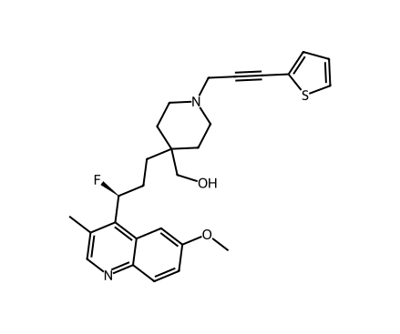 COc1ccc2ncc(C)c([C@@H](F)CCC3(CO)CCN(CC#Cc4cccs4)CC3)c2c1